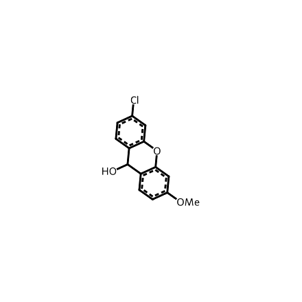 COc1ccc2c(c1)Oc1cc(Cl)ccc1C2O